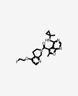 Cc1oc2ncnc(NC3(C)CC3)c2c1C(=O)N1CCc2c(OCCF)ccnc2C1